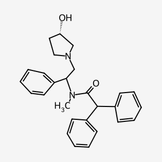 CN(C(=O)C(c1ccccc1)c1ccccc1)C(CN1CC[C@H](O)C1)c1ccccc1